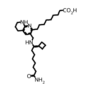 NC(=O)CCCCCCC(NCc1cc2c(nc1CCCCCCCCC(=O)O)NCCC2)=C1CCC1